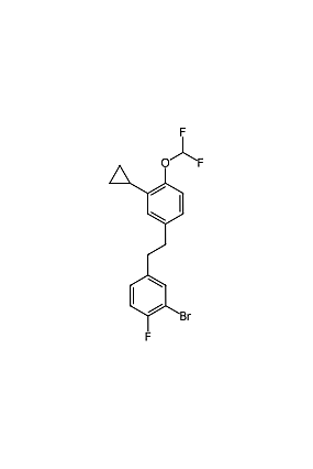 Fc1ccc(CCc2ccc(OC(F)F)c(C3CC3)c2)cc1Br